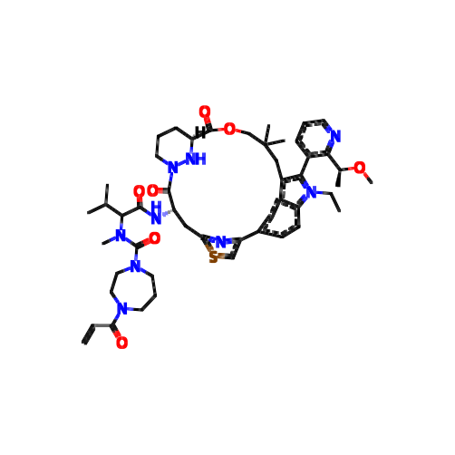 C=CC(=O)N1CCCN(C(=O)N(C)C(C(=O)N[C@H]2Cc3nc(cs3)-c3ccc4c(c3)c(c(-c3cccnc3[C@H](C)OC)n4CC)CC(C)(C)COC(=O)[C@@H]3CCCN(N3)C2=O)C(C)C)CC1